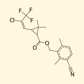 Cc1ccc(C#N)c(C)c1COC(=O)C1C(/C=C(/Cl)C(F)(F)F)C1(C)C